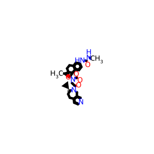 CNC(=O)Nc1ccc2c(c1)CCC1(CC1C)[C@]21OC(=O)N(CC(=O)N2Cc3cnccc3CC[C@@H]2C2CC2)C1=O